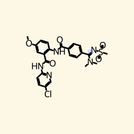 COc1ccc(NC(=O)c2ccc(/C(=N/S(C)(=O)=O)N(C)C)cc2)c(C(=O)Nc2ccc(Cl)cn2)c1